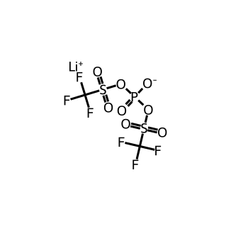 O=P([O-])(OS(=O)(=O)C(F)(F)F)OS(=O)(=O)C(F)(F)F.[Li+]